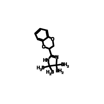 BC1(B)N=C(C2COc3ccccc3O2)NC1(B)B